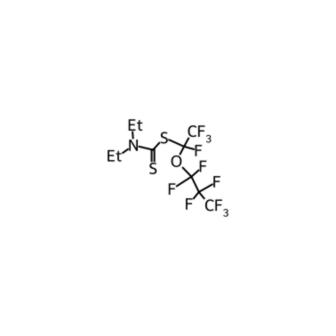 CCN(CC)C(=S)SC(F)(OC(F)(F)C(F)(F)C(F)(F)F)C(F)(F)F